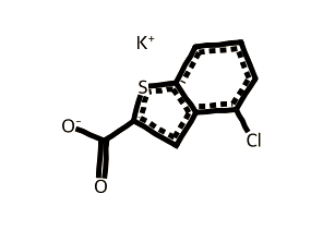 O=C([O-])c1cc2c(Cl)cccc2s1.[K+]